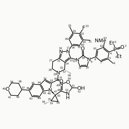 CCP(=O)(CC)c1c(C)cc(-n2ccn(-c3c4c(nn3-c3cc(C)c(F)c(C)c3)CCN(C(=O)c3cc5cc(C6CCOCC6)ccc5n3[C@@]3(C5=NOC(O)N5)C[C@@H]3C)[C@H]4C)c2=O)cc1NC